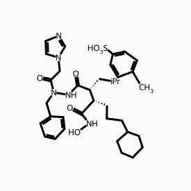 CC(C)C[C@@H](C(=O)NN(Cc1ccccc1)C(=O)Cn1ccnc1)[C@H](CCCC1CCCCC1)C(=O)NO.Cc1ccc(S(=O)(=O)O)cc1